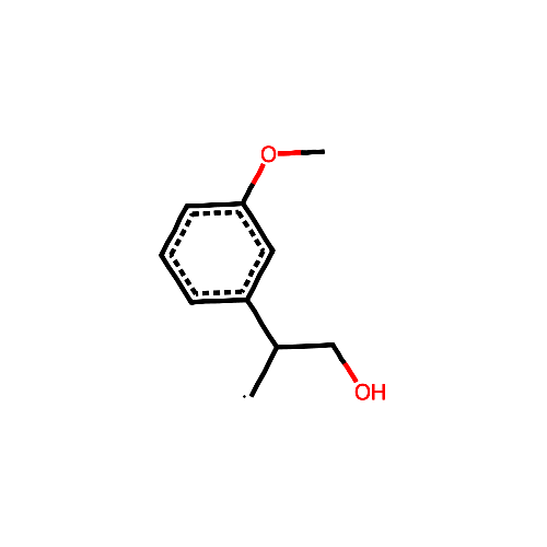 [CH2]C(CO)c1cccc(OC)c1